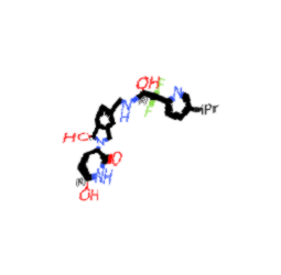 CC(C)c1ccc(C(F)(F)[C@@H](O)NCc2ccc3c(c2)CN(C2CC[C@@H](O)NC2=O)[C@H]3O)nc1